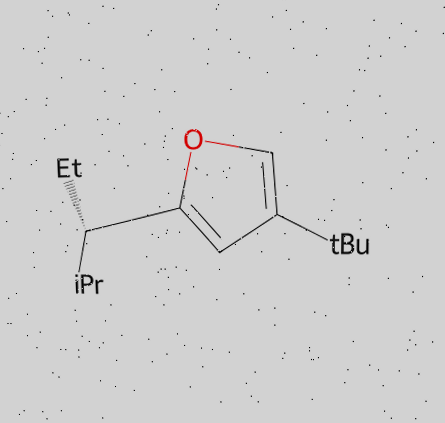 CC[C@H](c1cc(C(C)(C)C)co1)C(C)C